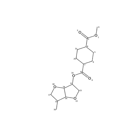 COC(=O)C1CCC(C(=O)OC2COC3C(C)COC23)CC1